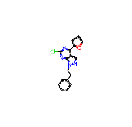 Clc1nc(-c2ccco2)c2cnn(CCc3ccccc3)c2n1